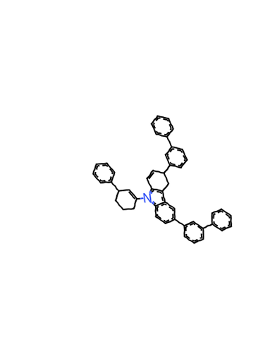 C1=CC(c2cccc(-c3ccccc3)c2)Cc2c1n(C1=CC(c3ccccc3)CCC1)c1ccc(-c3cccc(-c4ccccc4)c3)cc21